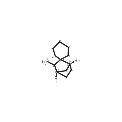 NC1[C@H]2CC[C@H](C2)C12CCCCC2